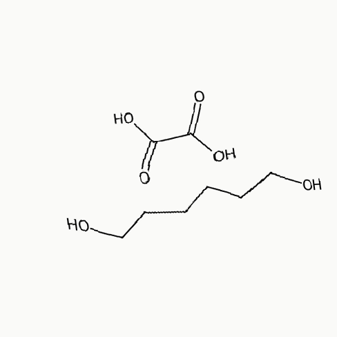 O=C(O)C(=O)O.OCCCCCCO